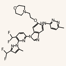 Cc1ccc(Nc2cc3ncn(-c4ccc(C(F)F)c(-n5nc(C(F)F)cc5C)n4)c3cc2OCCN2CCOCC2)nn1